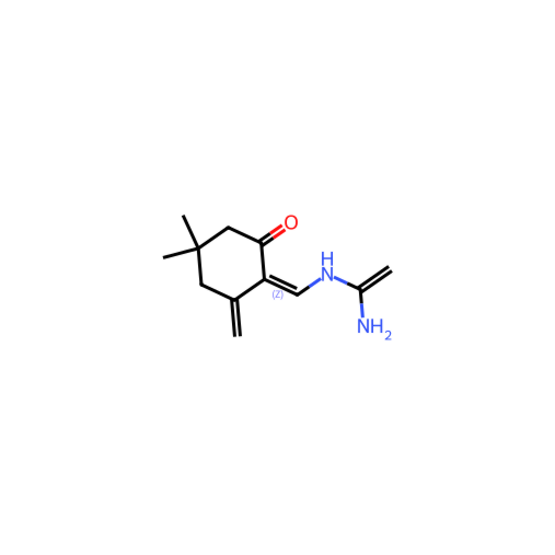 C=C(N)N/C=C1/C(=C)CC(C)(C)CC1=O